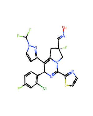 O/N=C/[C@]1(F)CC2=C(c3ccn(C(F)F)n3)[C@H](c3ccc(F)cc3Cl)N=C(c3nccs3)N2C1